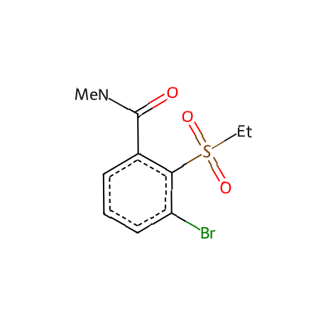 CCS(=O)(=O)c1c(Br)cccc1C(=O)NC